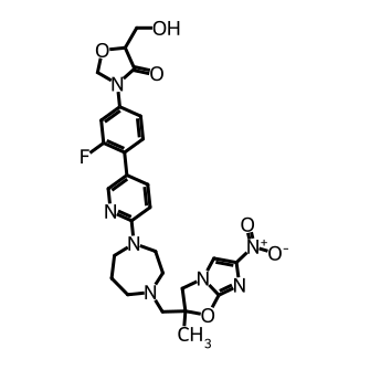 CC1(CN2CCCN(c3ccc(-c4ccc(N5COC(CO)C5=O)cc4F)cn3)CC2)Cn2cc([N+](=O)[O-])nc2O1